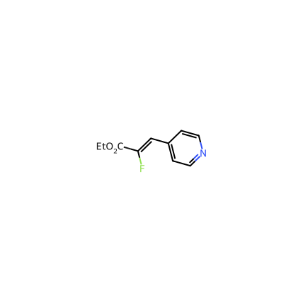 CCOC(=O)/C(F)=C/c1ccncc1